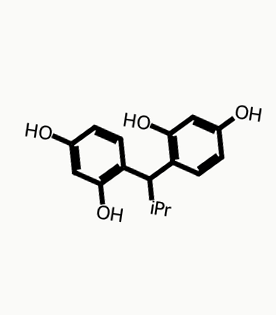 CC(C)C(c1ccc(O)cc1O)c1ccc(O)cc1O